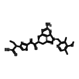 CCC(C(=O)O)c1csc(NC(=O)C2Cc3nn(Cc4ncc(C)c(OC)c4C)c4nc(N)nc(c34)S2)n1